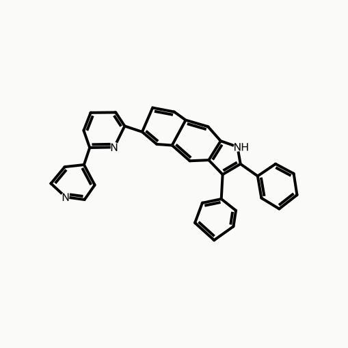 c1ccc(-c2[nH]c3cc4ccc(-c5cccc(-c6ccncc6)n5)cc4cc3c2-c2ccccc2)cc1